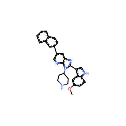 COc1ccc2[nH]cc(-c3nc4cc(-c5ccc6ccccc6c5)cnc4n3C3CCNCC3)c2c1